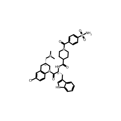 CN(C)C[C@H]1Cc2cc(Cl)ccc2N(C(=O)[C@@H](Cc2c[nH]c3ccccc23)NC(=O)C2CCN(C(=O)c3ccc(S(N)(=O)=O)cc3)CC2)C1